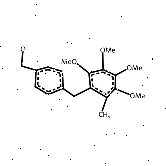 COc1c(C)c(Cc2ccc(C[O])cc2)c(OC)c(OC)c1OC